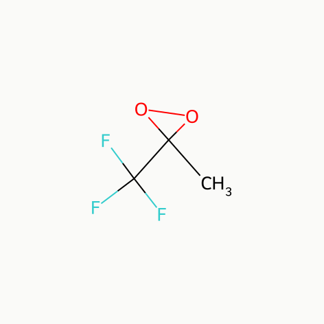 CC1(C(F)(F)F)OO1